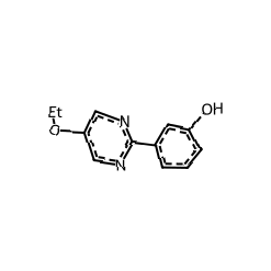 CCOc1cnc(-c2cccc(O)c2)nc1